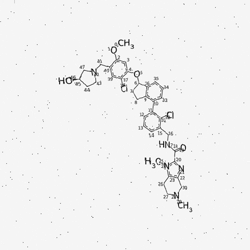 COc1cc(OC2CCc3c(-c4cccc(CNC(=O)c5nc6c(n5C)CCN(C)C6)c4Cl)cccc32)c(Cl)cc1CN1CC[C@@H](O)C1